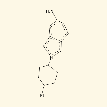 CCN1CCC(n2cc3ccc(N)cc3n2)CC1